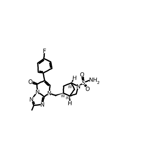 Cc1nc2n(C[C@H]3C[C@H]4C[C@@H]3CN4S(N)(=O)=O)cc(-c3ccc(F)cc3)c(=O)n2n1